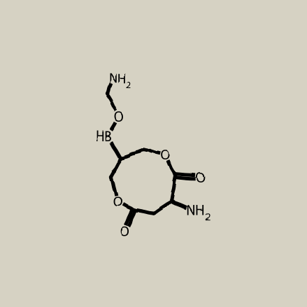 NCOBC1COC(=O)CC(N)C(=O)OC1